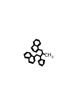 C[C](Cc1cccc2ccccc12)C(Cc1cccc2ccccc12)c1ccccc1